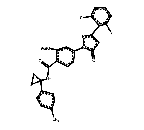 COc1cc(-n2nc(-c3c(F)cccc3Cl)[nH]c2=O)ccc1C(=O)NC1(c2ccc(C(F)(F)F)cc2)CC1